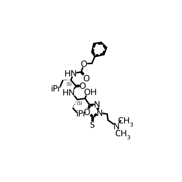 CC(C)C[C@H](NC(=O)OCc1ccccc1)C(=O)N[C@@H](CC(C)C)C(O)c1nn(CCN(C)C)c(=S)o1